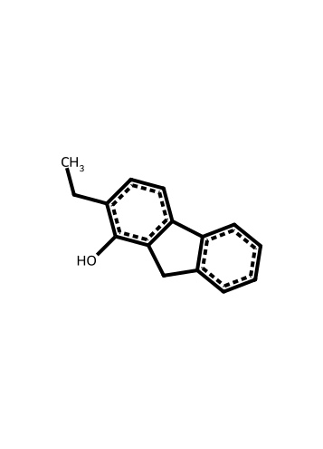 CCc1ccc2c(c1O)Cc1ccccc1-2